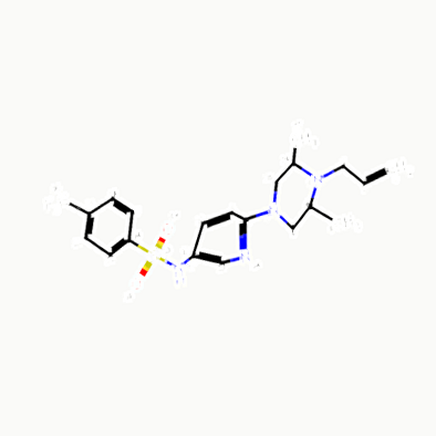 C=CCN1C(C)CN(c2ccc(NS(=O)(=O)c3ccc(C(F)(F)F)cc3)cn2)CC1C